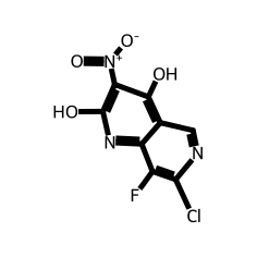 O=[N+]([O-])c1c(O)nc2c(F)c(Cl)ncc2c1O